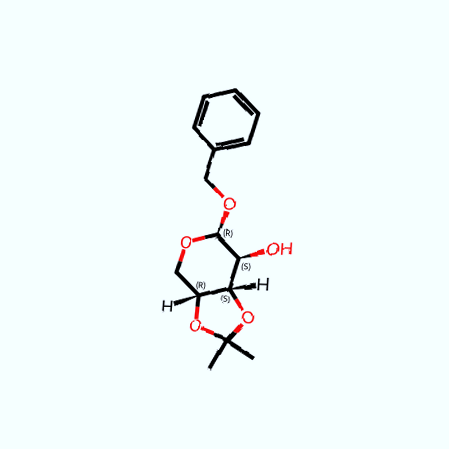 CC1(C)O[C@H]2[C@H](O)[C@H](OCc3ccccc3)OC[C@H]2O1